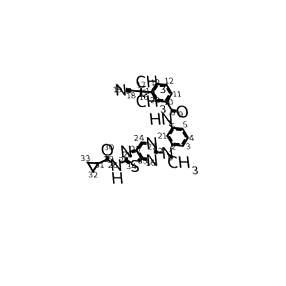 CN(c1cccc(NC(=O)c2cccc(C(C)(C)C#N)c2)c1)c1ncc2nc(NC(=O)C3CC3)sc2n1